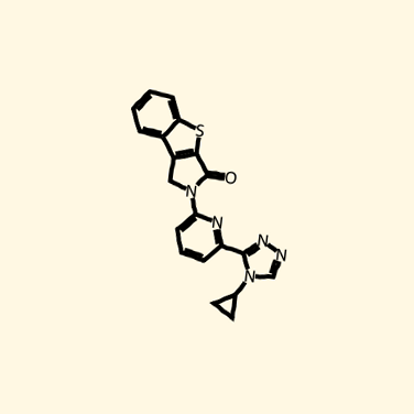 O=C1c2sc3ccccc3c2CN1c1cccc(-c2nncn2C2CC2)n1